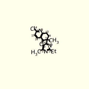 CCc1nc(C)cc(C2(C)CCc3nc(Cl)ccc3C2=O)n1